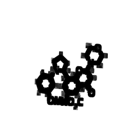 COc1cccc(N2CCCC2c2cc(C(=O)O)cc3c(=O)cc(N4CCOCC4)oc23)c1